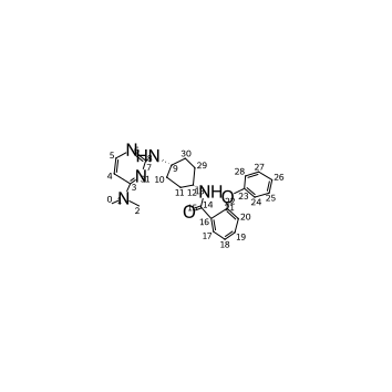 CN(C)c1ccnc(N[C@H]2CC[C@@H](NC(=O)c3ccccc3Oc3ccccc3)CC2)n1